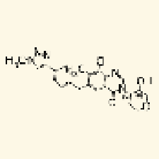 Cc1c(Cc2ccc(-c3cn(C)nn3)cc2)cc2c(=O)n([C@H]3CCOC[C@@H]3O)cnc2c1Cl